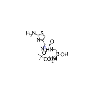 CC(C)(O/N=C(\C(=O)NCB(O)O)c1csc(N)n1)C(=O)O